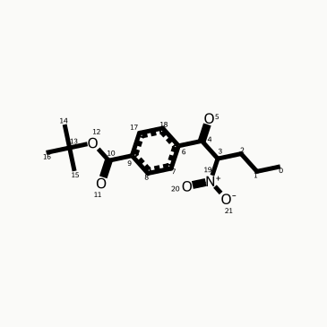 CCCC(C(=O)c1ccc(C(=O)OC(C)(C)C)cc1)[N+](=O)[O-]